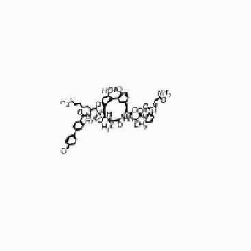 C=C([C@H](C)NC(=O)[C@@H]1Cc2ccc(O)c(c2)-c2cc(ccc2O)[C@H](N(C)C(=O)[C@H](CCCCN)NC(=O)c2ccc(-c3ccc(Cl)cc3)cc2)C(=O)N[C@@H](C)C(=O)N1)N1CCC[C@H]1C(=O)NCC(N)=O